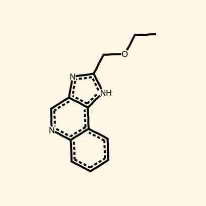 CCOCc1nc2cnc3ccccc3c2[nH]1